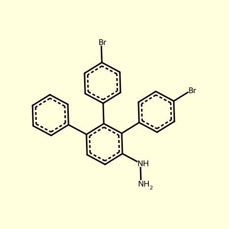 NNc1ccc(-c2ccccc2)c(-c2ccc(Br)cc2)c1-c1ccc(Br)cc1